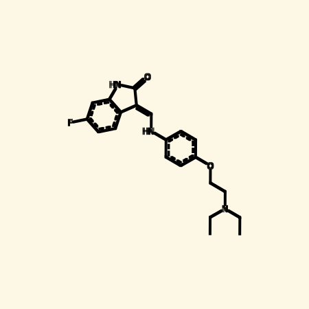 CCN(CC)CCOc1ccc(N/C=C2/C(=O)Nc3cc(F)ccc32)cc1